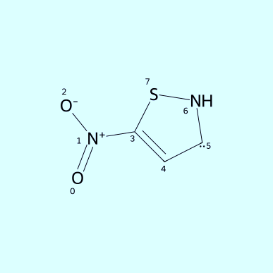 O=[N+]([O-])C1=C[C]NS1